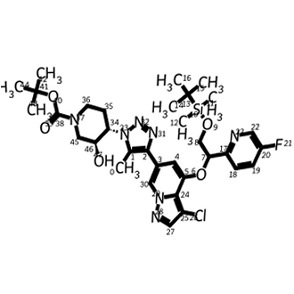 Cc1c(-c2cc(OC(CO[Si](C)(C)C(C)(C)C)c3ccc(F)cn3)c3c(Cl)cnn3c2)nnn1[C@H]1CCN(C(=O)OC(C)(C)C)C[C@@H]1O